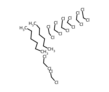 CCCCCC.CCCCCC.ClCCl.ClCCl.ClCCl.ClCCl.ClCCl.ClCCl.ClCCl.ClCCl